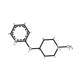 CN1CCC(Oc2cc[c]cn2)CC1